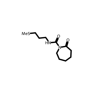 CSCCCNC(=O)N1CCCCCC1=O